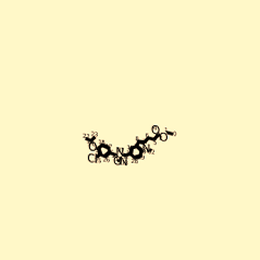 CCOC(=O)CCc1cc2cc(-c3noc(-c4ccc(OC(C)C)c(Cl)c4)n3)ccc2n1C